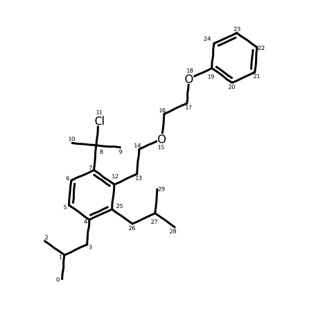 CC(C)Cc1ccc(C(C)(C)Cl)c(CCOCCOc2ccccc2)c1CC(C)C